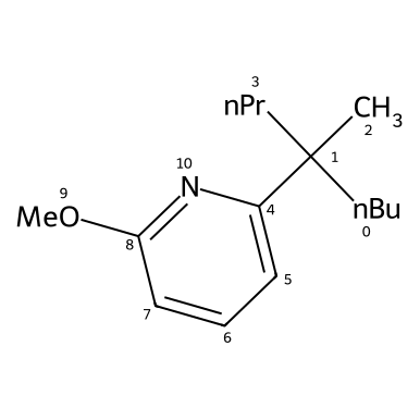 CCCCC(C)(CCC)c1cccc(OC)n1